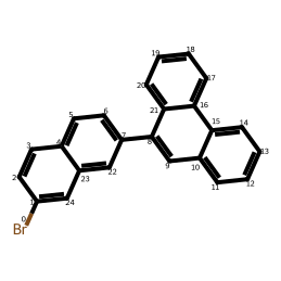 Brc1ccc2ccc(-c3cc4ccccc4c4ccccc34)cc2c1